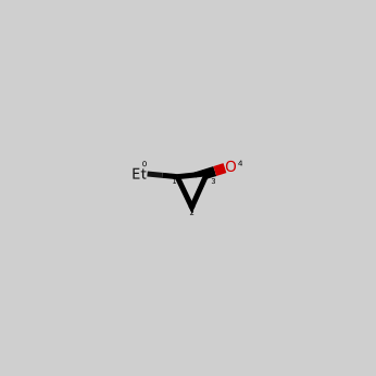 CCC1CC1=O